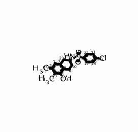 Cc1cc2c(c(O)c1C)CCC(NS(=O)(=O)c1ccc(Cl)cc1)C2